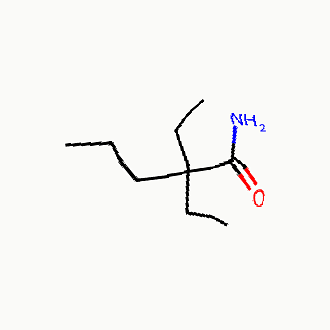 CCCC(CC)(CC)C(N)=O